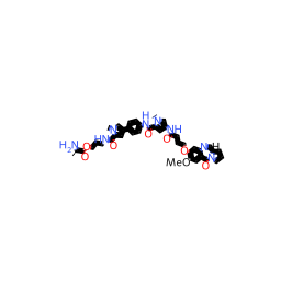 COc1cc2c(cc1OCCCC(=O)Nc1cc(C(=O)Nc3ccc(-c4cc(C(=O)NCCCOC(=O)[C@H](C)N)n(C)c4)cc3)n(C)c1)N=C[C@@H]1CCCN1C2=O